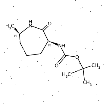 C[C@@H]1CCC[C@H](NC(=O)OC(C)(C)C)C(=O)N1